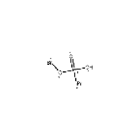 CC(C)P(=O)(O)OBr